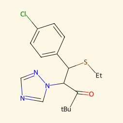 CCSC(c1ccc(Cl)cc1)C(C(=O)C(C)(C)C)n1cncn1